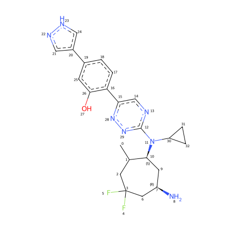 CC1CC(F)(F)C[C@H](N)C[C@@H]1N(c1ncc(-c2ccc(-c3cn[nH]c3)cc2O)nn1)C1CC1